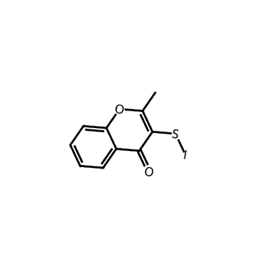 Cc1oc2ccccc2c(=O)c1SI